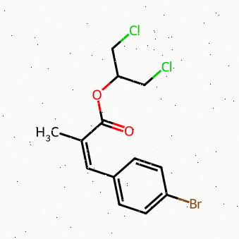 CC(=Cc1ccc(Br)cc1)C(=O)OC(CCl)CCl